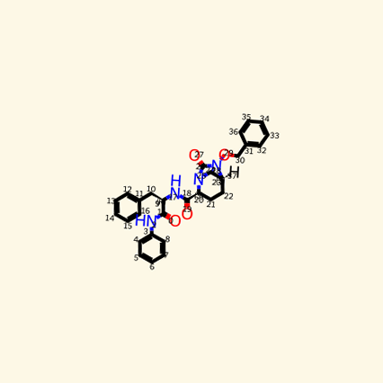 O=C(Nc1ccccc1)[C@@H](Cc1ccccc1)NC(=O)[C@@H]1CC[C@H]2CN1C(=O)N2OCc1ccccc1